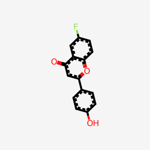 O=c1cc(-c2ccc(O)cc2)oc2ccc(F)cc12